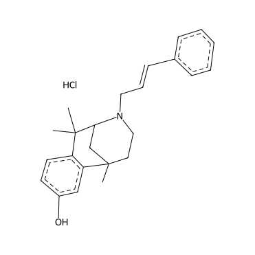 CC12CCN(CC=Cc3ccccc3)C(C1)C(C)(C)c1ccc(O)cc12.Cl